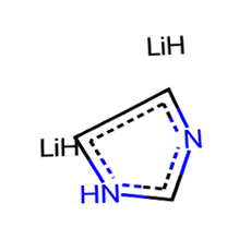 [LiH].[LiH].c1c[nH]cn1